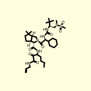 C=CCNC(=O)C(=O)C(CCCC)NC(=O)[C@@H]1[C@H]2CCC(C)(C)[C@H]2CN1C(=O)[C@@H](NC(=O)N[C@H](CN(C)S(C)(=O)=O)C(C)(C)C)C1CCCCC1